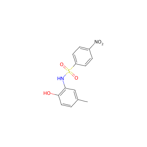 Cc1ccc(O)c(NS(=O)(=O)c2ccc([N+](=O)[O-])cc2)c1